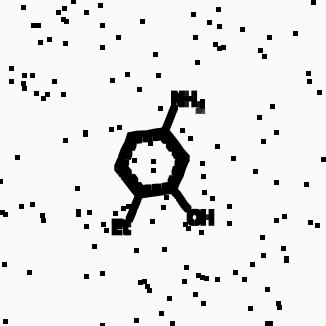 CCc1ccc(N)cc1O